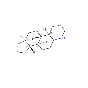 C[C@@]12CCC[C@H]1[C@@H]1CCC3NCCC[C@@H]3[C@H]1CC2